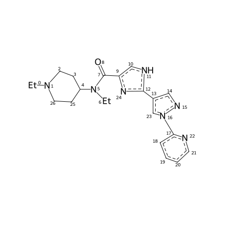 CCN1CCC(N(CC)C(=O)c2c[nH]c(-c3cnn(-c4ccccn4)c3)n2)CC1